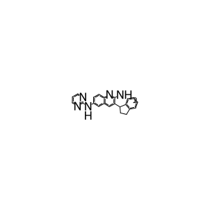 Nc1nc2ccc(Nc3ncccn3)cc2cc1C1CCc2ccccc21